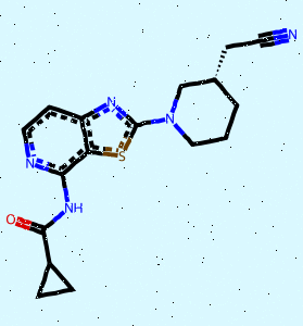 N#CC[C@@H]1CCCN(c2nc3ccnc(NC(=O)C4CC4)c3s2)C1